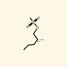 CCC[C@@H](C)COS(C)(=O)=O